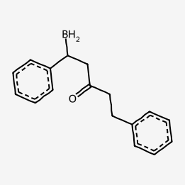 BC(CC(=O)CCc1ccccc1)c1ccccc1